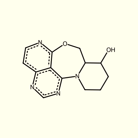 OC1CCCN2c3ncnc4ccnc(c34)OCC12